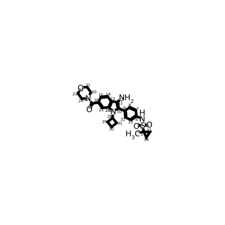 CC1(S(=O)(=O)Nc2ccc(-c3c(N)c4ccc(C(=O)N5CCOCC5)cc4n3C3CCC3)cc2)CC1